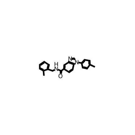 Cc1ccc(-n2cnc3cc(C(=O)NCc4ccccc4C)ccc32)cc1